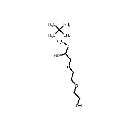 CC(C)(C)N.COC(O)COCCOCCO